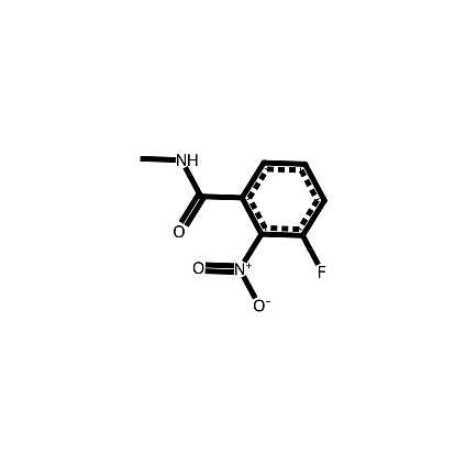 CNC(=O)c1cccc(F)c1[N+](=O)[O-]